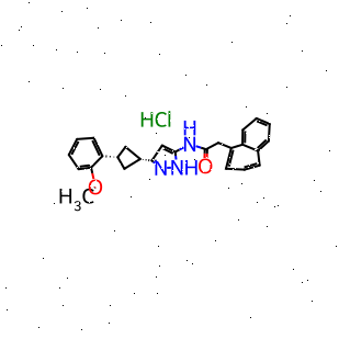 COc1ccccc1[C@H]1C[C@@H](c2cc(NC(=O)Cc3cccc4ccccc34)[nH]n2)C1.Cl